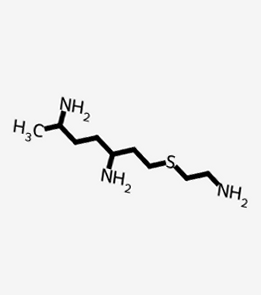 CC(N)CCC(N)CCSCCN